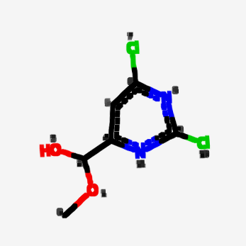 COC(O)c1cc(Cl)nc(Cl)n1